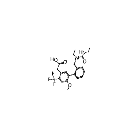 CCNC(=O)N(CC)Cc1ccccc1-c1cc(CC(=O)O)c(C(F)(F)F)cc1OC